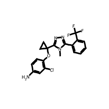 Cn1c(-c2ccccc2C(F)(F)F)nnc1C1(Oc2ccc(N)cc2Cl)CC1